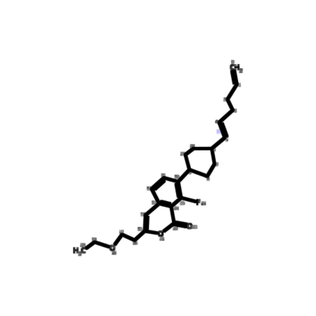 C=CCC/C=C/C1CCC(c2ccc3cc(CCOCC)oc(=O)c3c2F)CC1